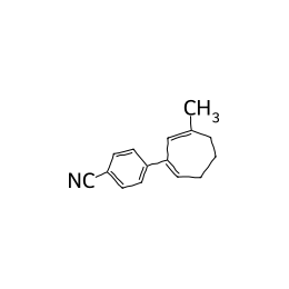 CC1=CC(c2ccc(C#N)cc2)=CCCC1